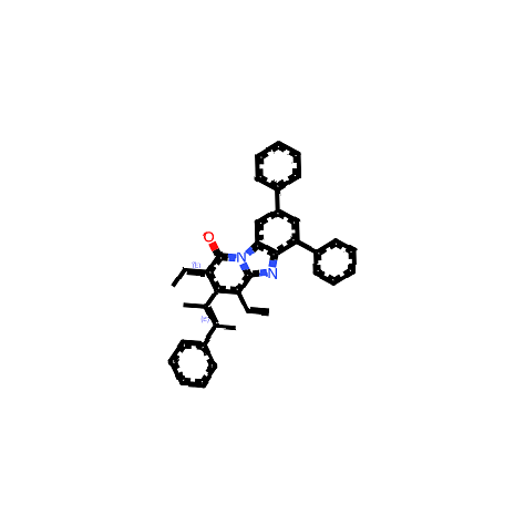 C=Cc1c(/C(C)=C(\C)c2ccccc2)/c(=C\C)c(=O)n2c1nc1c(-c3ccccc3)cc(-c3ccccc3)cc12